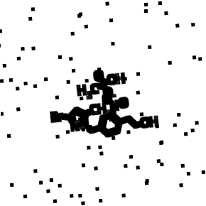 CS(=O)(=O)O.Cc1cc(Br)nn1Cc1ccc(CCO)c([N+](=O)[O-])c1